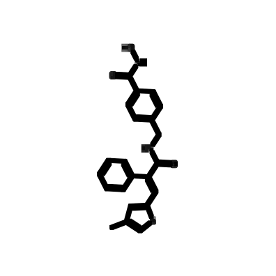 Cc1csc(C=C(C(=O)NCc2ccc(C(=O)NO)cc2)c2ccccc2)c1